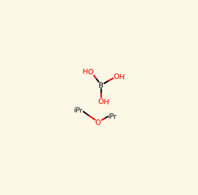 CC(C)OC(C)C.OB(O)O